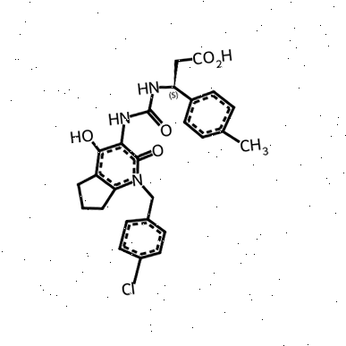 Cc1ccc([C@H](CC(=O)O)NC(=O)Nc2c(O)c3c(n(Cc4ccc(Cl)cc4)c2=O)CCC3)cc1